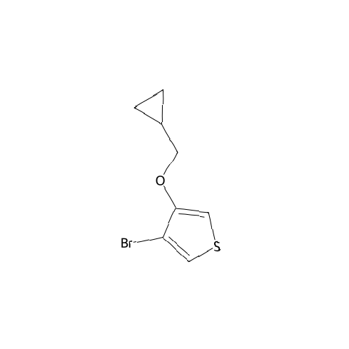 Brc1cscc1OCC1CC1